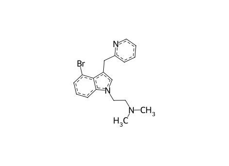 CN(C)CCn1cc(Cc2ccccn2)c2c(Br)cccc21